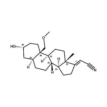 COC[C@]12CC[C@@H](O)C[C@@H]1CC[C@@H]1[C@@H]2CC[C@]2(C)/C(=C/C#N)CC[C@@H]12